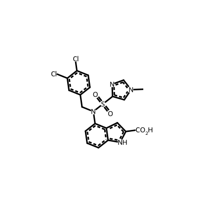 Cn1cnc(S(=O)(=O)N(Cc2ccc(Cl)c(Cl)c2)c2cccc3[nH]c(C(=O)O)cc23)c1